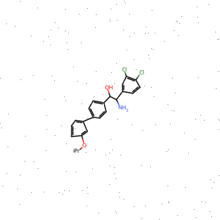 CC(C)Oc1cccc(-c2ccc(C(O)C(N)c3ccc(Cl)c(Cl)c3)cc2)c1